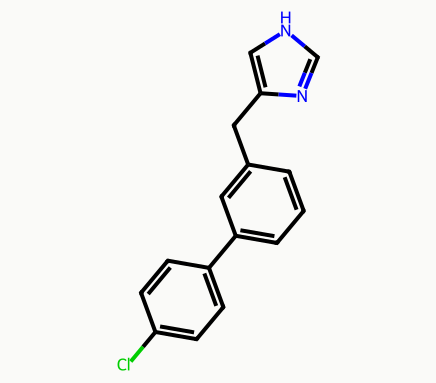 Clc1ccc(-c2cccc(Cc3c[nH]cn3)c2)cc1